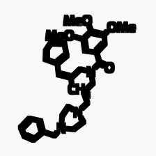 COc1cc(C(=O)N(CCCN2CCN(Cc3ccccc3)CC2)C/C(C)=C\c2ccccc2)cc(OC)c1OC